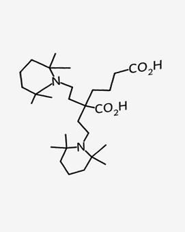 CC1(C)CCCC(C)(C)N1CCC(CCCC(=O)O)(CCN1C(C)(C)CCCC1(C)C)C(=O)O